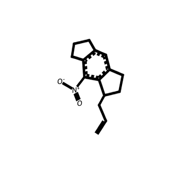 C=CCC1CCc2cc3c(c([N+](=O)[O-])c21)CCC3